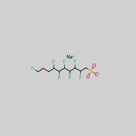 O=S(=O)([O-])CC(F)C(F)C(F)C(F)C(F)C(F)CCCF.[Na+]